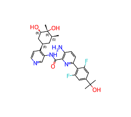 C[C@H]1C[C@@H](c2ccncc2NC(=O)c2nc(-c3c(F)cc(C(C)(C)O)cc3F)ccc2N)C[C@@H](O)[C@]1(C)O